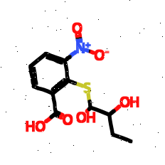 CCC(O)C(O)Sc1c(C(=O)O)cccc1[N+](=O)[O-]